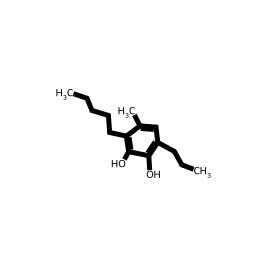 CCCCCc1c(C)cc(CCC)c(O)c1O